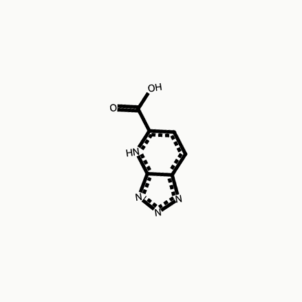 O=C(O)c1ccc2nnnc-2[nH]1